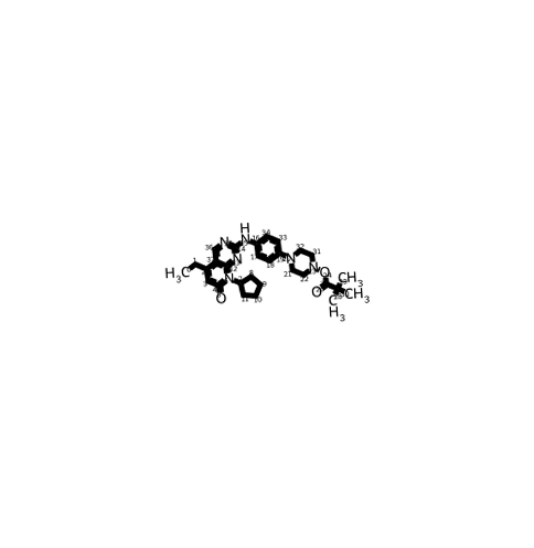 CCc1cc(=O)n(C2CCCC2)c2nc(Nc3ccc(N4CCN(OC(=O)C(C)(C)C)CC4)cc3)ncc12